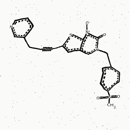 CS(=O)(=O)c1ccc(Cn2cc3cc(C#CCc4cccnc4)sc3[n+]([O-])c2=O)cc1